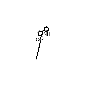 CCCCCCCCCC(=O)Oc1cccc2c1[nH]c1ccccc12